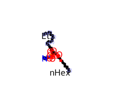 CC/C=C\C/C=C\C/C=C\C/C=C\C/C=C\CCCC(=O)O[C@H](COC(=O)CCCCCCCCC/C=C\CCCCCC)COP(=O)([O-])OCC[N+](C)(C)C